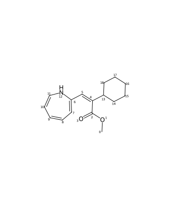 COC(=O)C(=CC1=CC=CC=CN1)C1CCCCC1